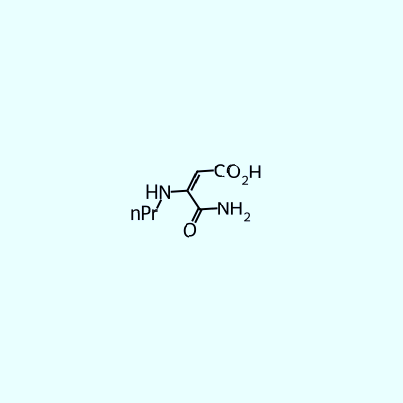 CCCNC(=CC(=O)O)C(N)=O